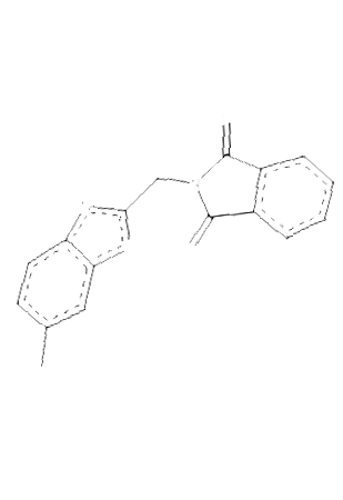 Cc1ccc2nc(CN3C(=O)c4ccccc4C3=O)sc2c1